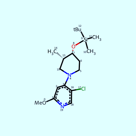 COc1cc(N2CC[C@@H](O[Si](C)(C)C(C)(C)C)[C@@H](C)C2)c(Cl)cn1